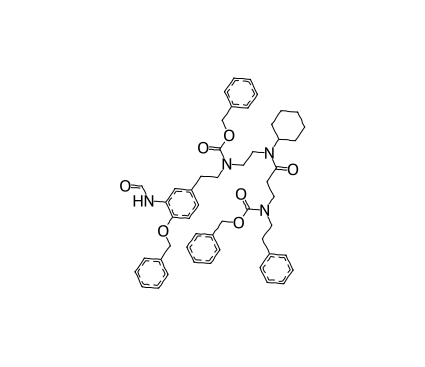 O=CNc1cc(CCN(CCN(C(=O)CCN(CCc2ccccc2)C(=O)OCc2ccccc2)C2CCCCC2)C(=O)OCc2ccccc2)ccc1OCc1ccccc1